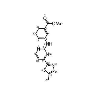 COC(=O)C1=CC(Nc2nccc(-c3ncc(C)s3)n2)=CCC1